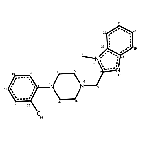 Cn1c(CN2CCN(c3ccccc3Cl)CC2)nc2ccccc21